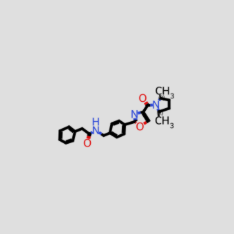 C[C@@H]1CC[C@@H](C)N1C(=O)c1coc(-c2ccc(CNC(=O)Cc3ccccc3)cc2)n1